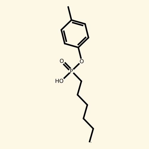 [CH2]CCCCCP(=O)(O)Oc1ccc(C)cc1